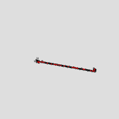 O=C(CCCC[C@@H]1SC[C@@H]2NC(=O)N[C@@H]21)NCCOCCOCCOCCOCCOCCOCCOCCOCCOCCOCCOCCOCCOCCOCCOCCOCCOCCOCCOCCOCCOCCOCCOCCOCCC(=O)ON1C(=O)CCC1=O